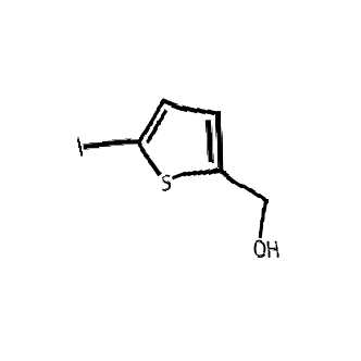 OCc1ccc(I)s1